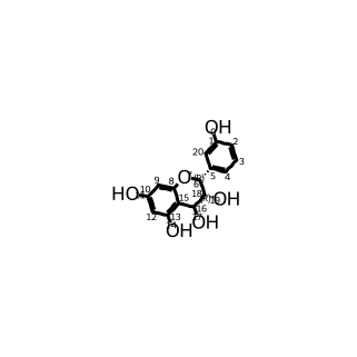 Oc1cccc([C@H]2Oc3cc(O)cc(O)c3C(O)[C@H]2O)c1